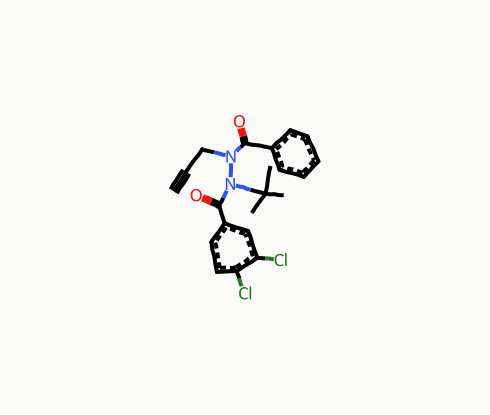 C#CCN(C(=O)c1ccccc1)N(C(=O)c1ccc(Cl)c(Cl)c1)C(C)(C)C